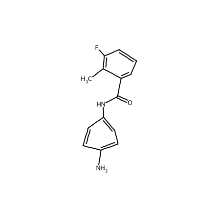 Cc1c(F)cccc1C(=O)Nc1ccc(N)cc1